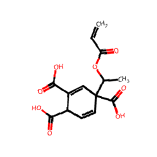 C=CC(=O)OC(C)C1(C(=O)O)C=CC(C(=O)O)C(C(=O)O)=C1